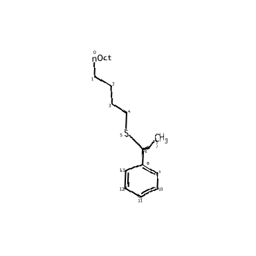 CCCCCCCCCCCCSC(C)c1ccccc1